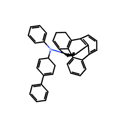 C1=CC(N(c2ccccc2)c2cccc3c2C2=CCCC4=C2c2ccccc2-c2cccc4c2-3)CC=C1c1ccccc1